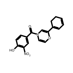 O=C(c1ccc(O)c([N+](=O)[O-])c1)N1C=COC(C2=CC=CCC2)=C1